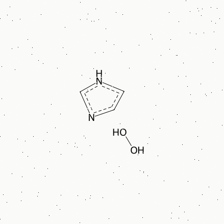 OO.c1c[nH]cn1